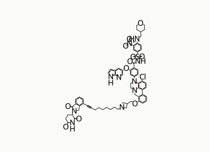 O=C1CCC(N2Cc3c(C#CCCCCCCCN4CC(COc5cccc(-c6ccc(Cl)cc6)c5CN5CCN(c6ccc(C(=O)NS(=O)(=O)c7ccc(NCC8CCOCC8)c([N+](=O)[O-])c7)c(Oc7cnc8[nH]ccc8c7)c6)CC5)C4)cccc3C2=O)C(=O)N1